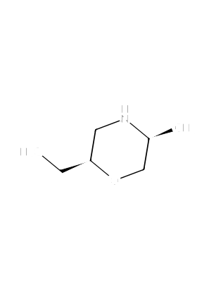 CC[C@H]1CN[C@@H](C)CO1